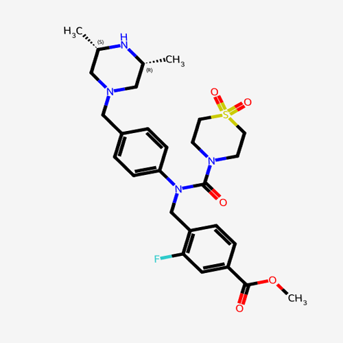 COC(=O)c1ccc(CN(C(=O)N2CCS(=O)(=O)CC2)c2ccc(CN3C[C@@H](C)N[C@@H](C)C3)cc2)c(F)c1